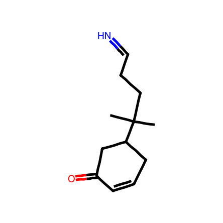 CC(C)(CCC=N)C1CC=CC(=O)C1